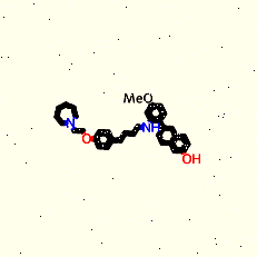 COc1ccc(C2CCc3cc(O)ccc3C2)c(NCCCCc2ccc(OCCN3CCCCCC3)cc2)c1